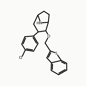 Clc1ccc(C2CC3CCC(N3)C2OCc2cc3ccccc3s2)cc1